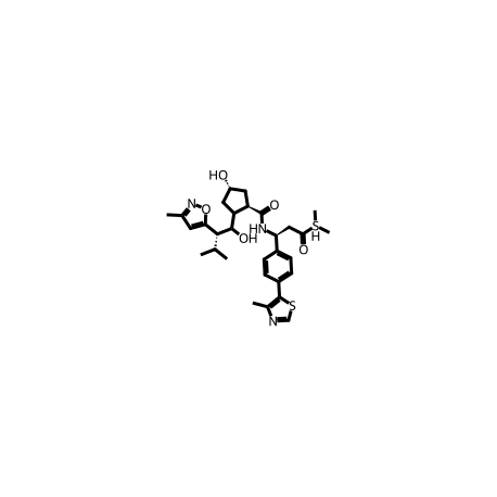 Cc1cc([C@@H](C(C)C)C(O)C2C[C@H](O)C[C@H]2C(=O)N[C@@H](CC(=O)[SH](C)C)c2ccc(-c3scnc3C)cc2)on1